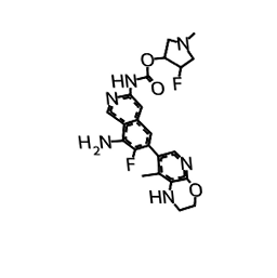 Cc1c(-c2cc3cc(NC(=O)OC4CN(C)CC4F)ncc3c(N)c2F)cnc2c1NCCO2